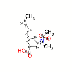 CC1CC1C=Cc1cc(C(=O)O)cc(N(C)S(C)(=O)=O)c1